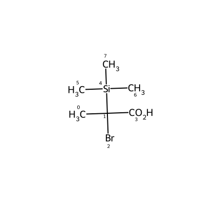 CC(Br)(C(=O)O)[Si](C)(C)C